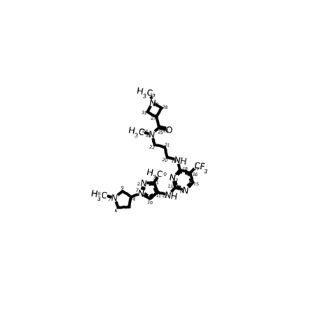 Cc1nn(C2CCN(C)C2)cc1Nc1ncc(C(F)(F)F)c(NCCCN(C)C(=O)C2CN(C)C2)n1